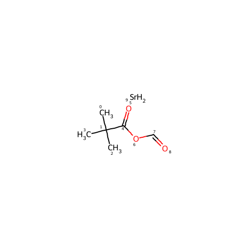 CC(C)(C)C(=O)OC=O.[SrH2]